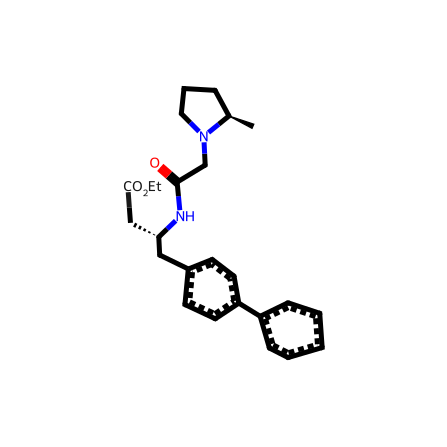 CCOC(=O)C[C@@H](Cc1ccc(-c2ccccc2)cc1)NC(=O)CN1CCC[C@H]1C